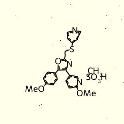 COc1ccc(-c2oc(CSc3ccncc3)nc2-c2ccc(OC)nc2)cc1.CS(=O)(=O)O